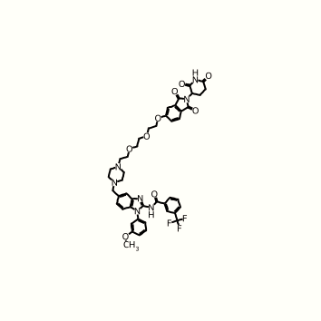 COc1cccc(-n2c(NC(=O)c3cccc(C(F)(F)F)c3)nc3cc(CN4CCN(CCOCCOCCOc5ccc6c(c5)C(=O)N(C5CCC(=O)NC5=O)C6=O)CC4)ccc32)c1